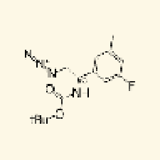 Cc1cc(F)cc([C@@H](CN=[N+]=[N-])NC(=O)OC(C)(C)C)c1